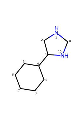 [CH]1NCC(C2CCCCC2)N1